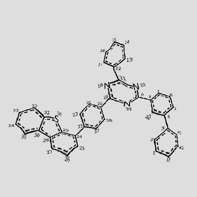 c1ccc(-c2cccc(-c3nc(-c4ccccc4)nc(-c4ccc(-c5cccc6c5sc5ccccc56)cc4)n3)c2)cc1